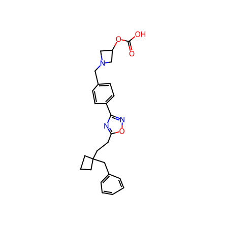 O=C(O)OC1CN(Cc2ccc(-c3noc(CCC4(Cc5ccccc5)CCC4)n3)cc2)C1